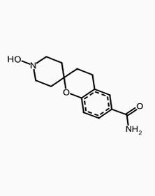 NC(=O)c1ccc2c(c1)CCC1(CCN(O)CC1)O2